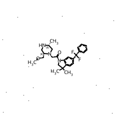 COC[C@H]1CN[C@H](C)CN1CC(=O)N1CC(C)(C)c2ccc(C(F)(F)c3ccccc3)cc21